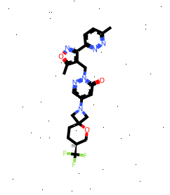 Cc1ccc(-c2noc(C)c2Cn2ncc(N3CC4(CC[C@H](C(F)(F)F)CO4)C3)cc2=O)nn1